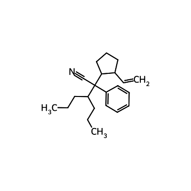 C=CC1CCCC1C(C#N)(c1ccccc1)C(CCC)CCC